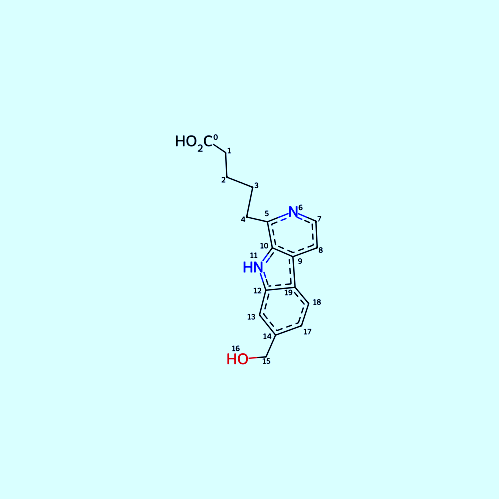 O=C(O)CCCCc1nccc2c1[nH]c1cc(CO)ccc12